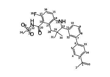 C=C(C)c1ccc(-c2cccc(C3Nc4ccc(F)c(C(=O)NS(C)(=O)=O)c4CC3(C)C)c2)cc1